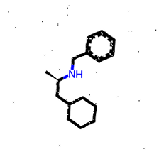 C[C@H](CC1CCCCC1)NCc1ccccc1